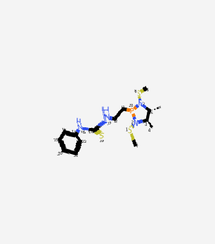 CSN1[C@H](C)[C@@H](C)N(SC)P1CCNC(=S)Nc1ccccc1